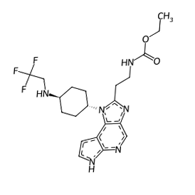 CCOC(=O)NCCc1nc2cnc3[nH]ccc3c2n1[C@H]1CC[C@H](NCC(F)(F)F)CC1